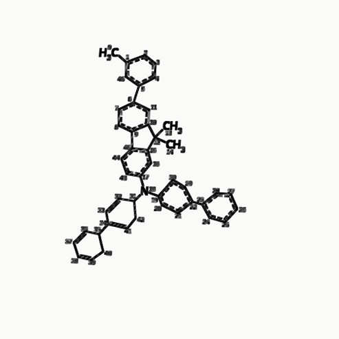 Cc1cccc(-c2ccc3c(c2)C(C)(C)c2cc(N(c4ccc(-c5ccccc5)cc4)C4C=CC(C5C=CC=CC5)=CC4)ccc2-3)c1